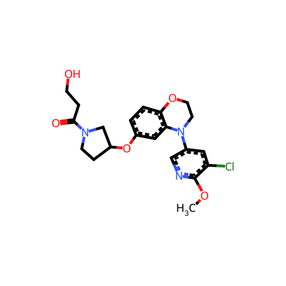 COc1ncc(N2CCOc3ccc(OC4CCN(C(=O)CCO)C4)cc32)cc1Cl